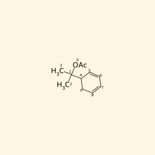 CC(=O)OC(C)(C)C1C=CC=CC1